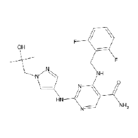 CC(C)(O)Cn1cc(Nc2ncc(C(N)=O)c(NCc3c(F)cccc3F)n2)cn1